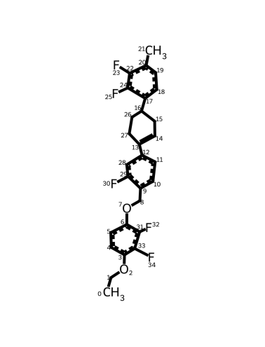 CCOc1ccc(OCc2ccc(C3=CCC(c4ccc(C)c(F)c4F)CC3)cc2F)c(F)c1F